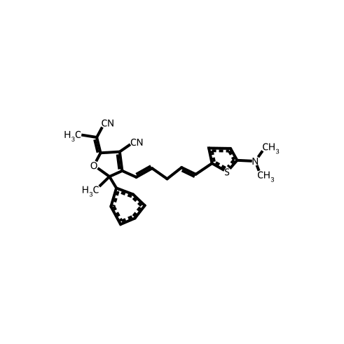 C/C(C#N)=C1\OC(C)(c2ccccc2)C(/C=C/C/C=C/c2ccc(N(C)C)s2)=C1C#N